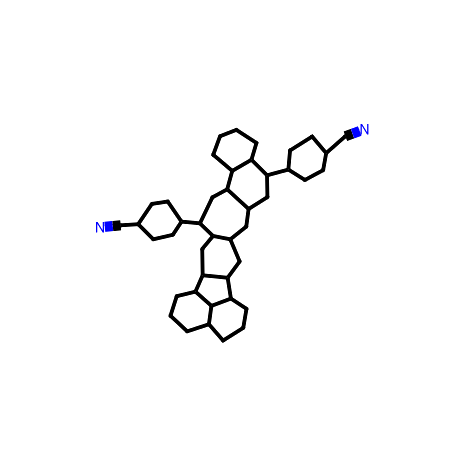 N#CC1CCC(C2CC3C(CC4CC5C(CC42)C2CCCC4CCCC5C42)CC(C2CCC(C#N)CC2)C2CCCCC32)CC1